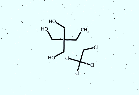 CCC(CO)(CO)CO.ClCC(Cl)(Cl)Cl